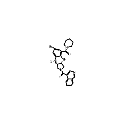 O=C(c1cc(Br)cc([N+](=O)[O-])c1N[C@@H]1CCN(C(=O)c2cncc3ccccc23)C1)N1CCCCC1